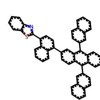 c1ccc2cc(-c3c4ccccc4c(-c4ccc5ccccc5c4)c4cc(-c5ccc(-c6nc7ccccc7s6)c6ccccc56)ccc34)ccc2c1